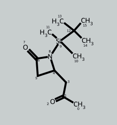 CC(=O)CC1CC(=O)N1[Si](C)(C)C(C)(C)C